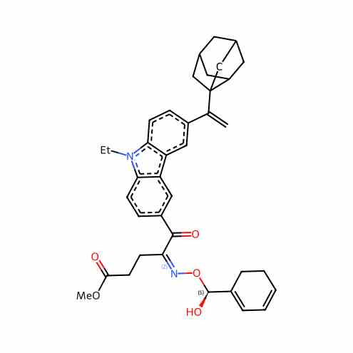 C=C(c1ccc2c(c1)c1cc(C(=O)/C(CCC(=O)OC)=N\O[C@H](O)C3=CC=CCC3)ccc1n2CC)C12CC3CC(CC1C3)C2